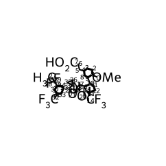 COc1ccc(CCC(=O)O)cc1-c1ccc(C(F)(F)F)nc1CN1C(=O)O[C@H](c2cc(C(C)(F)F)cc(C(F)(F)F)c2)C12CC2